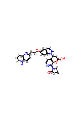 O=C(O)CC(c1ccnc(N2CCCC2=O)c1)n1ncc2cc(OCCc3ccc4c(n3)CCCN4)ccc21